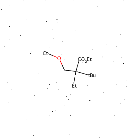 CCOCC(CC)(C(=O)OCC)C(C)(C)C